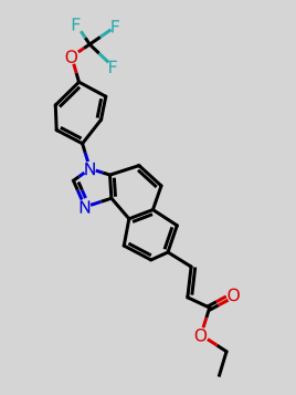 CCOC(=O)C=Cc1ccc2c(ccc3c2ncn3-c2ccc(OC(F)(F)F)cc2)c1